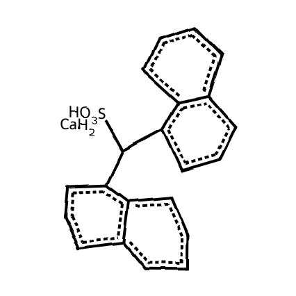 O=S(=O)(O)C(c1cccc2ccccc12)c1cccc2ccccc12.[CaH2]